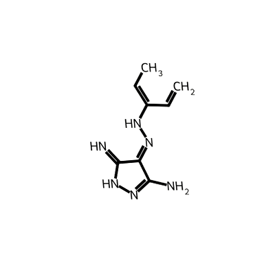 C=C/C(=C\C)N/N=C1\C(=N)NN=C1N